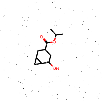 CC(C)OC(=O)C1CC(O)C2CC2C1